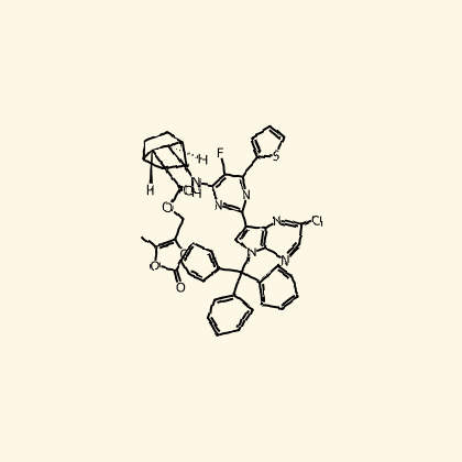 Cc1oc(=O)oc1COC(=O)[C@@H]1C2CCC(CC2)[C@H]1Nc1nc(-c2cn(C(c3ccccc3)(c3ccccc3)c3ccccc3)c3ncc(Cl)nc23)nc(-c2cccs2)c1F